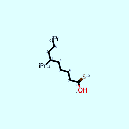 CC(C)CCC(CCCCC(O)=S)C(C)C